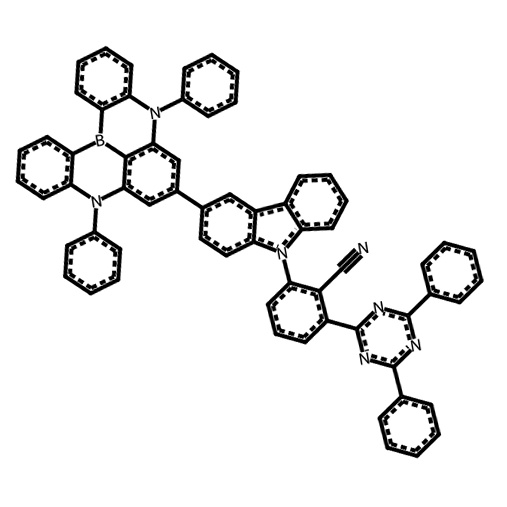 N#Cc1c(-c2nc(-c3ccccc3)nc(-c3ccccc3)n2)cccc1-n1c2ccccc2c2cc(-c3cc4c5c(c3)N(c3ccccc3)c3ccccc3B5c3ccccc3N4c3ccccc3)ccc21